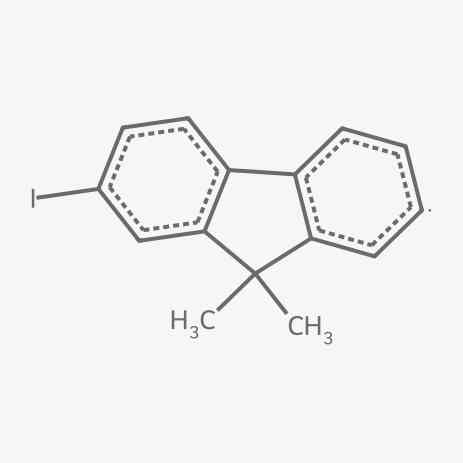 CC1(C)c2c[c]ccc2-c2ccc(I)cc21